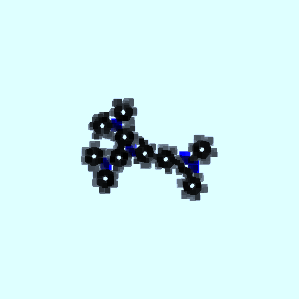 Cc1cc(-c2ccc(-c3cc(-c4ccccc4)nc(-c4ccccc4)n3)cc2)ccc1-n1c2ccc(N(c3ccccc3)c3ccccc3)cc2c2cc(N(c3ccccc3)c3ccccc3)ccc21